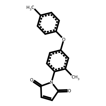 Cc1ccc(Oc2ccc(N3C(=O)C=CC3=O)c(C)c2)cc1